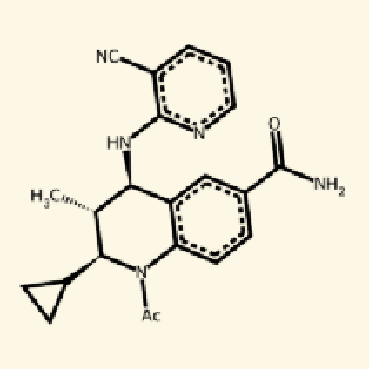 CC(=O)N1c2ccc(C(N)=O)cc2[C@H](Nc2ncccc2C#N)[C@@H](C)[C@@H]1C1CC1